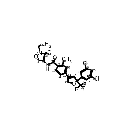 CCN1OCC(NC(=O)c2ccc(C3=CC(c4cc(Cl)cc(Cl)c4)(C(F)(F)F)OC3)cc2C)C1=O